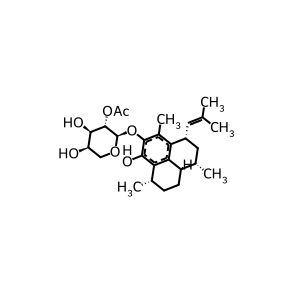 CC(=O)O[C@@H]1[C@@H](Oc2c(C)c3c4c(c2O)[C@@H](C)CC[C@@H]4[C@@H](C)C[C@H]3C=C(C)C)OC[C@@H](O)[C@H]1O